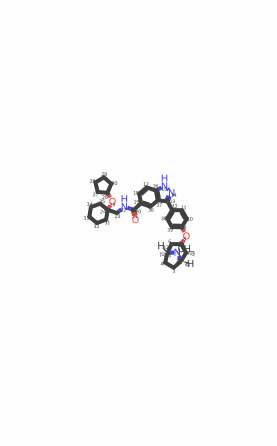 CN1[C@@H]2CC[C@H]1CC(Oc1ccc(-c3n[nH]c4ccc(C(=O)NCC5(OC6CCCC6)CCCCC5)cc34)cc1)C2